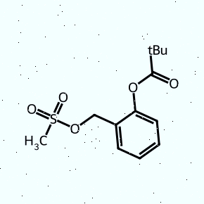 CC(C)(C)C(=O)Oc1ccccc1COS(C)(=O)=O